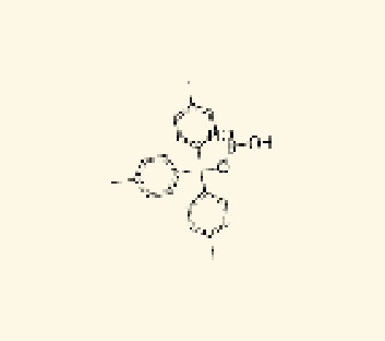 Cc1ccc(C(OB(O)O)(c2ccc(C)cc2)c2ccc(C)cc2)cc1